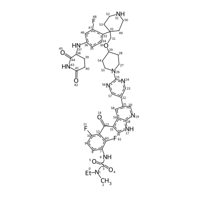 CCN(C)S(=O)(=O)Nc1ccc(F)c(C(=O)c2c[nH]c3ncc(-c4cnc(N5CCC(OCC6(c7ccc(NC8CCC(=O)NC8=O)cc7F)CCNCC6)CC5)nc4)cc23)c1F